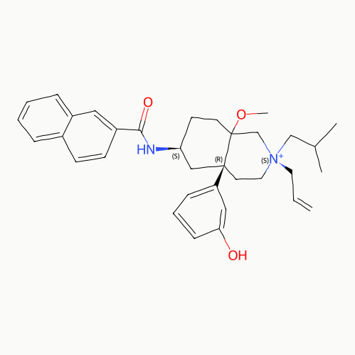 C=CC[N@@+]1(CC(C)C)CC[C@]2(c3cccc(O)c3)C[C@@H](NC(=O)c3ccc4ccccc4c3)CCC2(OC)C1